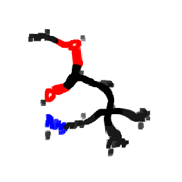 CCCOC(=O)CC(CCC)(CCC)CCC.N